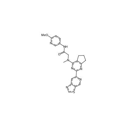 COc1ccc(NC(=O)CN(C)c2nc(-c3cc4ncsc4cn3)nc3c2CCC3)cn1